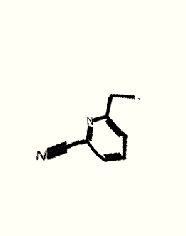 [CH2]Cc1cccc(C#N)n1